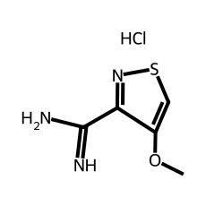 COc1csnc1C(=N)N.Cl